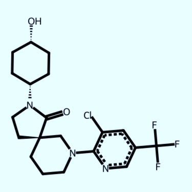 O=C1N([C@H]2CC[C@@H](O)CC2)CC[C@@]12CCCN(c1ncc(C(F)(F)F)cc1Cl)C2